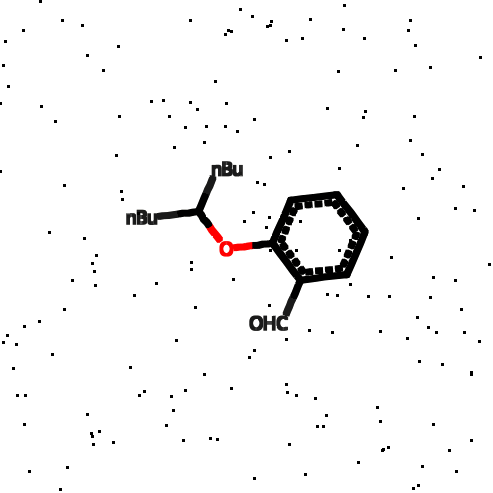 CCCCC(CCCC)Oc1ccccc1C=O